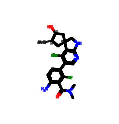 CO[C@H]1C[C@]2(CNc3ncc(-c4ccc(N)c(C(=O)N(C)C)c4F)c(Cl)c32)C[C@@H]1O